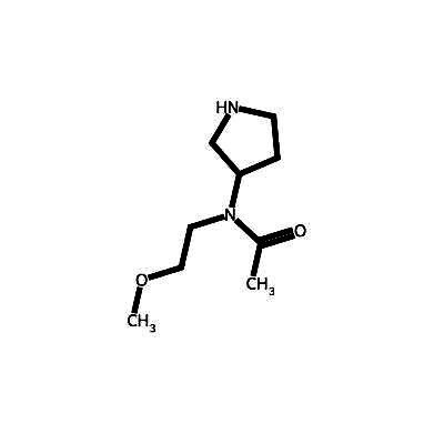 COCCN(C(C)=O)C1CCNC1